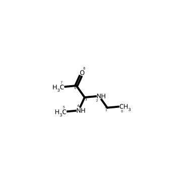 C[CH]NC(NC)C(C)=O